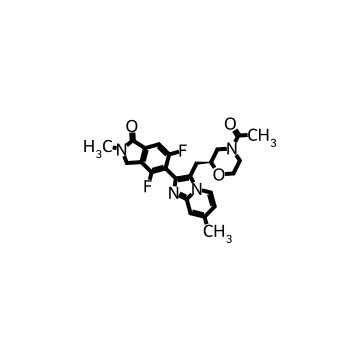 CC(=O)N1CCO[C@@H](Cc2c(-c3c(F)cc4c(c3F)CN(C)C4=O)nc3cc(C)ccn23)C1